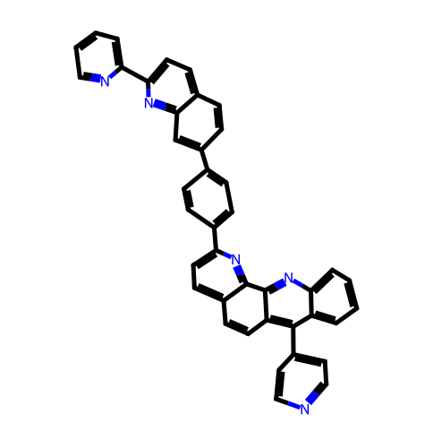 c1ccc(-c2ccc3ccc(-c4ccc(-c5ccc6ccc7c(-c8ccncc8)c8ccccc8nc7c6n5)cc4)cc3n2)nc1